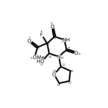 COC(=O)C1(F)C(=O)NC(=O)N(C2CCCO2)C1O